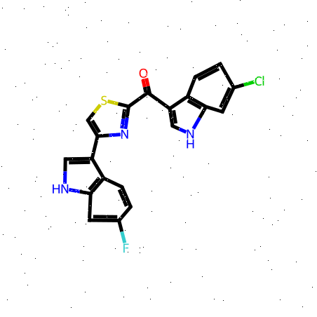 O=C(c1nc(-c2c[nH]c3cc(F)ccc23)cs1)c1c[nH]c2cc(Cl)ccc12